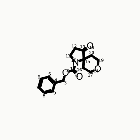 O=C(OCc1ccccc1)N1CCC(=O)C12CCOCC2